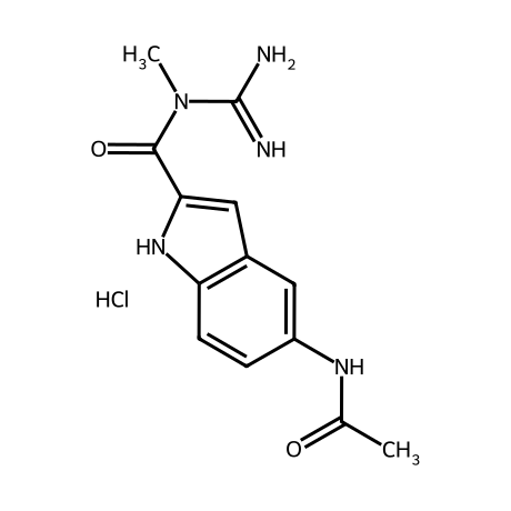 CC(=O)Nc1ccc2[nH]c(C(=O)N(C)C(=N)N)cc2c1.Cl